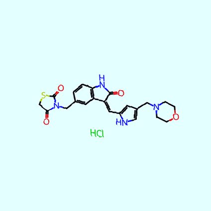 Cl.O=C1Nc2ccc(CN3C(=O)CSC3=O)cc2/C1=C/c1cc(CN2CCOCC2)c[nH]1